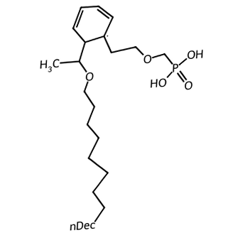 CCCCCCCCCCCCCCCCCCOC(C)C1C=CC=C[C]1CCOCP(=O)(O)O